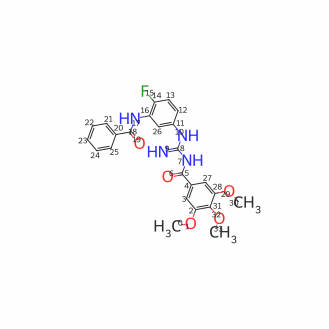 COc1cc(C(=O)NC(=N)Nc2ccc(F)c(NC(=O)c3ccccc3)c2)cc(OC)c1OC